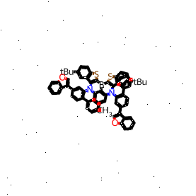 Cc1cc2c3c(c1)N(c1cc(-c4coc5ccccc45)ccc1-c1ccccc1)c1c(sc4ccc(C(C)(C)C)cc14)B3c1sc3ccc(C(C)(C)C)cc3c1N2c1cc(-c2coc3ccccc23)ccc1-c1ccccc1